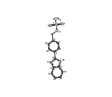 CS(=O)(=O)OCc1ccc(-c2nc3ccccc3s2)cc1